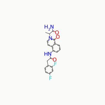 CC(C(N)=O)n1ccc2c(NC(=O)Cc3ccc(F)cc3F)cccc2c1=O